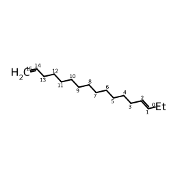 [CH2]CC=CCCCCCCCCCCCC=C